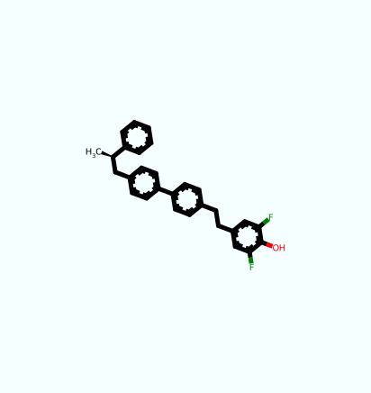 C[C@H](Cc1ccc(-c2ccc(CCc3cc(F)c(O)c(F)c3)cc2)cc1)c1ccccc1